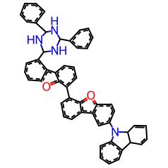 C1=CC2c3ccccc3N(c3ccc4oc5c(-c6cccc7c6oc6cccc(C8NC(c9ccccc9)NC(c9ccccc9)N8)c67)cccc5c4c3)C2C=C1